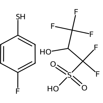 Fc1ccc(S)cc1.O=S(=O)(O)C(F)(F)C(O)C(F)(F)F